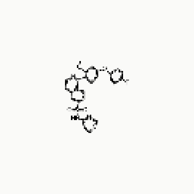 COc1cc(Oc2ccc(F)cc2)ccc1-c1nccc2cc(S(=O)(=O)Nc3ccncn3)ccc12